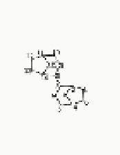 C1CC2CC1CCC2C1CCC2CCC1C2